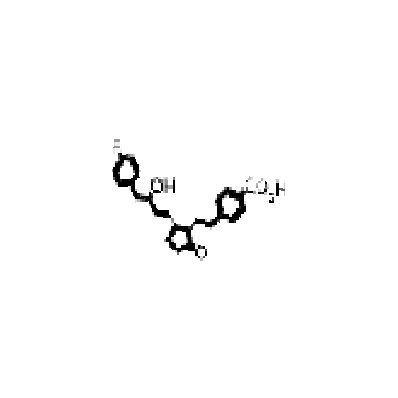 O=C(O)c1ccc(CC[C@H]2C(=O)CC[C@@H]2/C=C/C(O)Cc2ccc(F)cc2)cc1